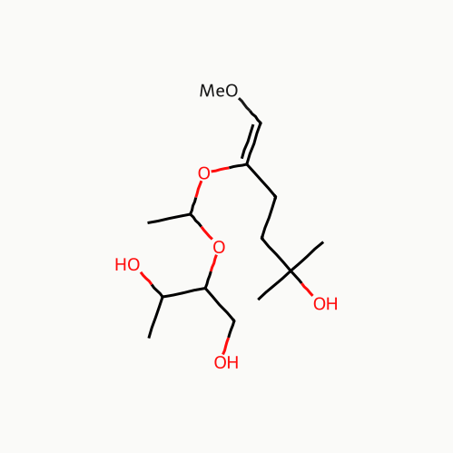 CO/C=C(/CCC(C)(C)O)OC(C)OC(CO)C(C)O